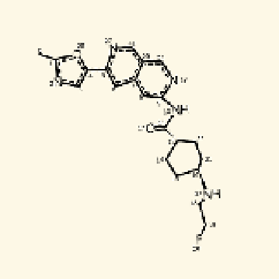 Cc1ncc(-c2cc3cc(NC(=O)[C@H]4CC[C@H](NCCF)CC4)ncc3cn2)o1